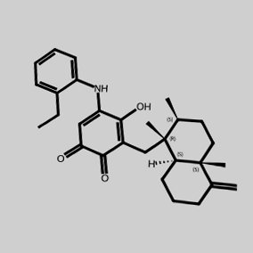 C=C1CCC[C@H]2[C@](C)(CC3=C(O)C(Nc4ccccc4CC)=CC(=O)C3=O)[C@@H](C)CC[C@]12C